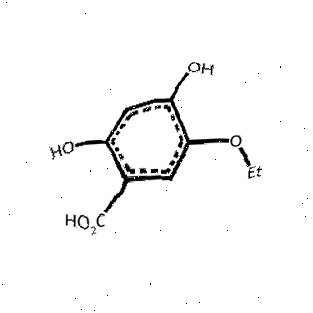 CCOc1cc(C(=O)O)c(O)cc1O